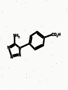 Nc1nnnn1-c1ccc(C(=O)O)cc1